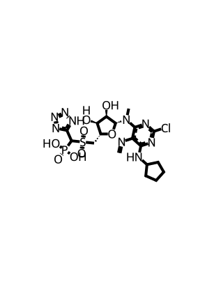 C=Nc1c(NC2CCCC2)nc(Cl)nc1N(C)[C@@H]1O[C@H](CS(=O)(=O)C(c2nnn[nH]2)P(=O)(O)O)[C@@H](O)[C@H]1O